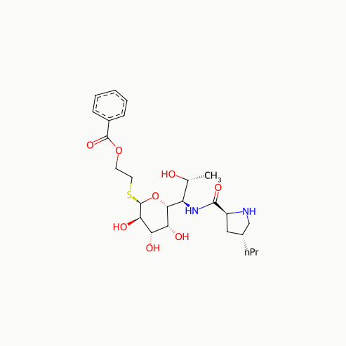 CCC[C@H]1CN[C@H](C(=O)N[C@@H]([C@H]2O[C@H](SCCOC(=O)c3ccccc3)[C@H](O)[C@@H](O)[C@H]2O)[C@@H](C)O)C1